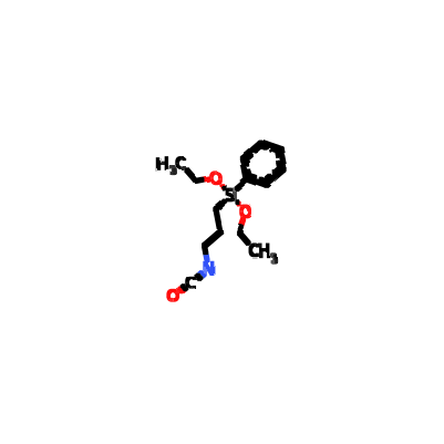 CCO[Si](CCCN=C=O)(OCC)c1ccccc1